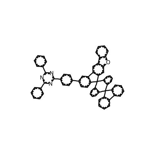 c1ccc(-c2nc(-c3ccccc3)nc(-c3ccc(-c4ccc5c(c4)-c4cc6c(cc4C54c5ccccc5C5(c7ccccc7-c7ccccc75)c5ccccc54)oc4ccccc46)cc3)n2)cc1